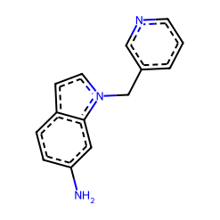 Nc1ccc2ccn(Cc3cccnc3)c2c1